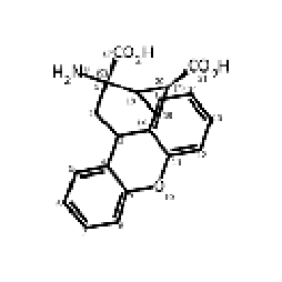 N[C@](CC1c2ccccc2Oc2ccccc21)(C(=O)O)C1C[C@@H]1C(=O)O